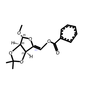 CO[C@@H]1O/C(=C\OC(=O)c2ccccc2)[C@H]2OC(C)(C)O[C@@H]12